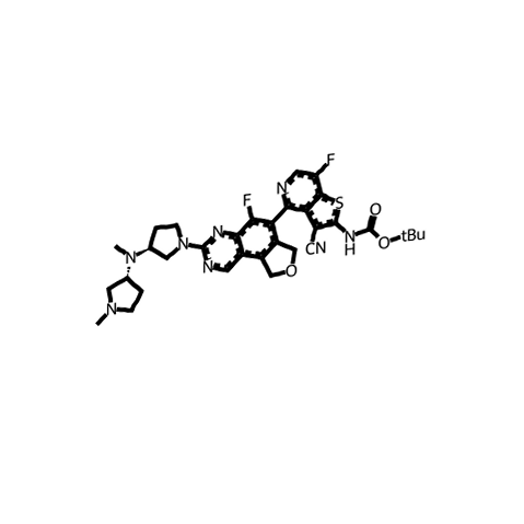 CN1CC[C@@H](N(C)[C@H]2CCN(c3ncc4c5c(c(-c6ncc(F)c7sc(NC(=O)OC(C)(C)C)c(C#N)c67)c(F)c4n3)COC5)C2)C1